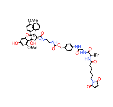 COc1ccc([C@@]23Oc4cc(O)cc(OC)c4[C@]2(O)C[C@H](C(=O)NCCNC(=O)OCc2ccc(NC(=O)CNC(=O)C(NC(=O)CCCCCN4C(=O)C=CC4=O)C(C)C)cc2)[C@H]3c2ccccc2)cc1